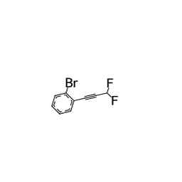 FC(F)C#Cc1ccccc1Br